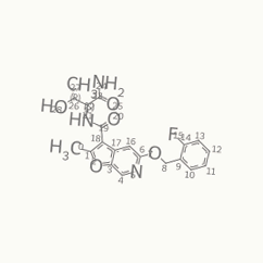 Cc1oc2cnc(OCc3ccccc3F)cc2c1C(=O)N[C@H](C(N)=O)[C@@H](C)O